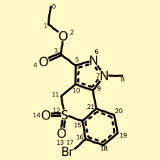 CCOC(=O)c1nn(C)c2c1CS(=O)(=O)c1c(Br)cccc1-2